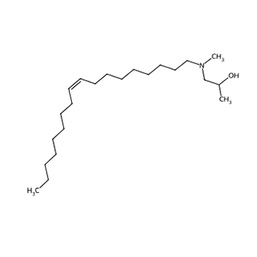 CCCCCCCC/C=C\CCCCCCCCN(C)CC(C)O